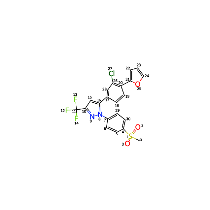 CS(=O)(=O)c1ccc(-n2nc(C(F)(F)F)cc2-c2ccc(-c3ccco3)c(Cl)c2)cc1